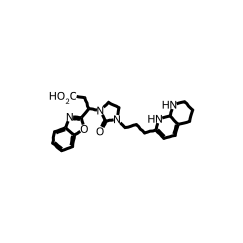 O=C(O)CC(c1nc2ccccc2o1)N1CCN(CCCC2=CC=C3CCCNC3N2)C1=O